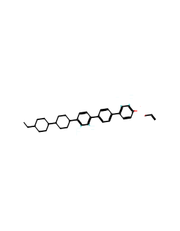 C=CCOc1ccc(-c2ccc(-c3ccc(C4CCC(C5CCC(CC)CC5)CC4)c(F)c3F)cc2)c(F)c1F